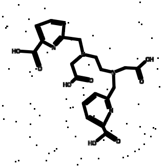 O=C(O)CN(CCN(CC(=O)O)Cc1cccc(C(=O)O)n1)Cc1cccc(C(=O)O)n1